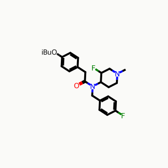 CC(C)COc1ccc(CC(=O)N(Cc2ccc(F)cc2)C2CCN(C)CC2F)cc1